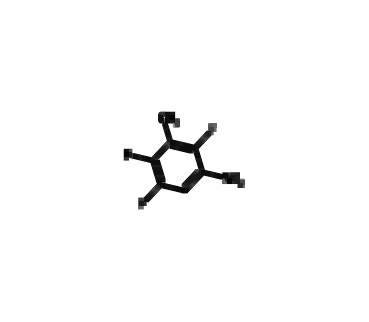 Cc1c(F)c(N)cc(F)c1F